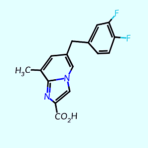 Cc1cc(Cc2ccc(F)c(F)c2)cn2cc(C(=O)O)nc12